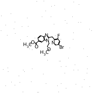 COCCn1c(Cc2ncc(Br)cc2F)nc2ccc(C(=O)OC)cc21